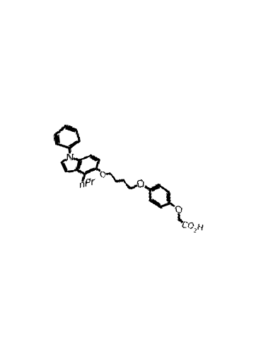 CCCc1c(OCCCCOc2ccc(OCC(=O)O)cc2)ccc2c1ccn2-c1ccccc1